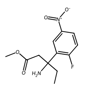 CCC(N)(CC(=O)OC)c1cc([N+](=O)[O-])ccc1F